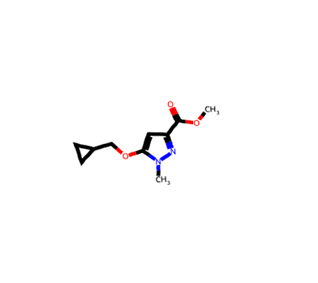 COC(=O)c1cc(OCC2CC2)n(C)n1